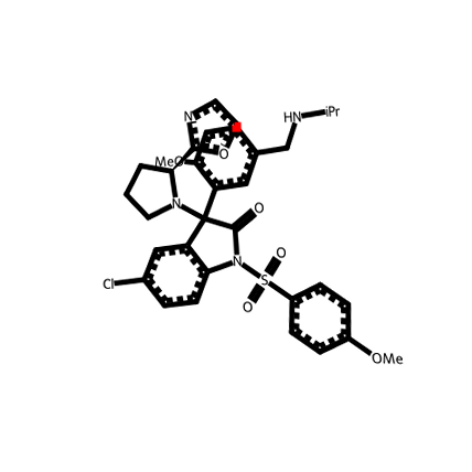 COc1ccc(S(=O)(=O)N2C(=O)C(c3cc(CNC(C)C)ccc3OC)(N3CCC[C@H]3c3ncco3)c3cc(Cl)ccc32)cc1